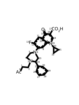 CC(=O)CCN1CCN(c2cc3c(cc2F)c(=O)c(C(=O)O)cn3C2CC2)CC1c1ccccc1